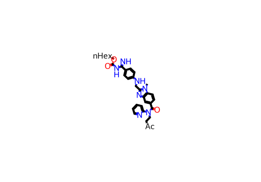 CCCCCCOC(=O)NC(=N)c1ccc(NCc2nc3cc(C(=O)N(CCC(C)=O)c4ccccn4)ccc3n2C)cc1